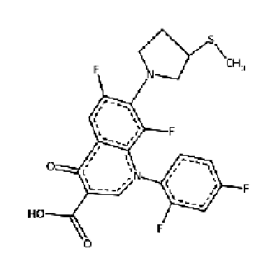 CSC1CCN(c2c(F)cc3c(=O)c(C(=O)O)cn(-c4ccc(F)cc4F)c3c2F)C1